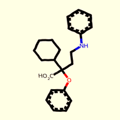 O=C(O)C(CCNc1ccccc1)(Oc1ccccc1)C1CCCCC1